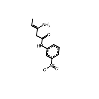 CC=C(N)CC(=O)Nc1cccc([N+](=O)[O-])c1